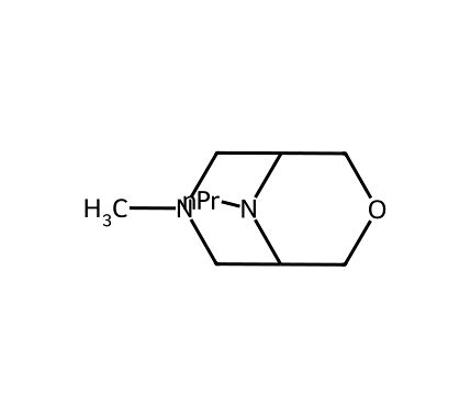 CCCN1C2COCC1CN(C)C2